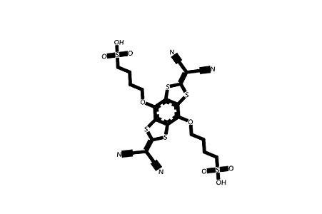 N#CC(C#N)=C1Sc2c(OCCCCS(=O)(=O)O)c3c(c(OCCCCS(=O)(=O)O)c2S1)SC(=C(C#N)C#N)S3